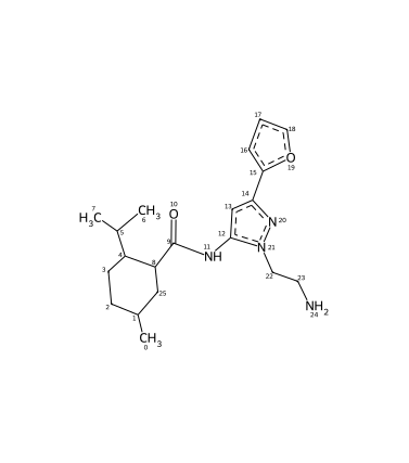 CC1CCC(C(C)C)C(C(=O)Nc2cc(-c3ccco3)nn2CCN)C1